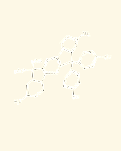 BC1=CC2C(C=C1)c1cc3c(cc1C2(CCCCCCCC)CCCCCCCC)-c1ccc(B)cc1C3(c1ccc(C(C)(C)C)cc1)c1ccc(C(C)(C)C)cc1